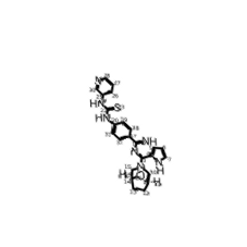 N=C(/N=C(\c1ccc[nH]1)N1C[C@H]2CC[C@@H](C1)O2)c1ccc(NC(=S)Nc2cccnc2)cc1